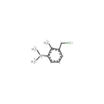 Cc1c(CCl)cccc1[SiH](C)C